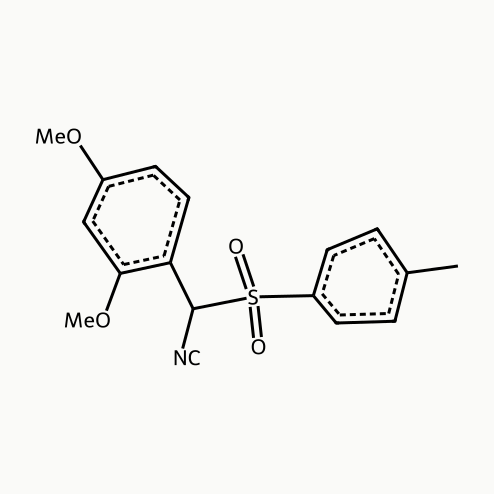 [C-]#[N+]C(c1ccc(OC)cc1OC)S(=O)(=O)c1ccc(C)cc1